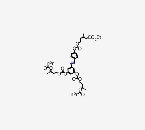 CCCC(=O)O[C@H](C)CCOC(=O)Oc1cc(/C=C/c2ccc(OC(=O)OCC[C@@H](C)CC(=O)OCC)cc2)cc(OC(=O)OCC[C@@H](C)OC(=O)CCC)c1